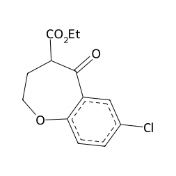 CCOC(=O)C1CCOc2ccc(Cl)cc2C1=O